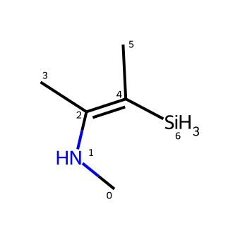 CNC(C)=C(C)[SiH3]